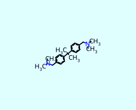 CN(C)Cc1ccc(C(C)(C)c2ccc(CN(C)C)cc2)cc1